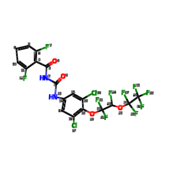 O=C(NC(=O)c1c(F)cccc1F)Nc1cc(Cl)c(OC(F)(F)C(F)OC(F)(F)C(F)(F)F)c(Cl)c1